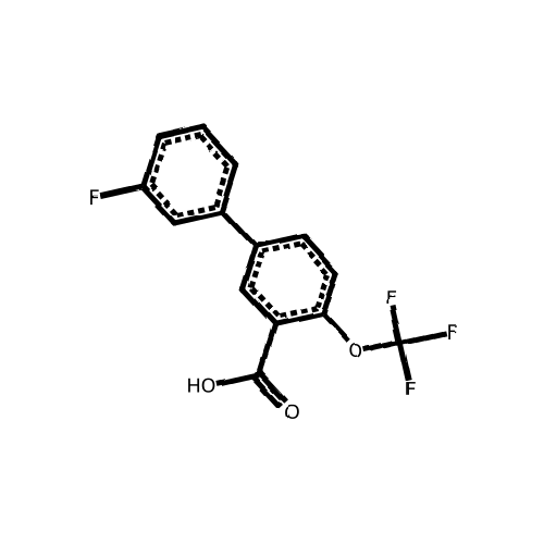 O=C(O)c1cc(-c2cccc(F)c2)ccc1OC(F)(F)F